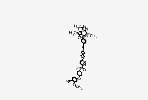 CC[C@@H]1N=C(c2ccc(C#CC3CC4(C3)CN(c3ccc(C(=O)NC5CCC(Oc6ccc(C#N)c(OC)c6)CC5)nn3)C4)cc2)c2c(sc(C)c2C)-n2c(C)nnc21